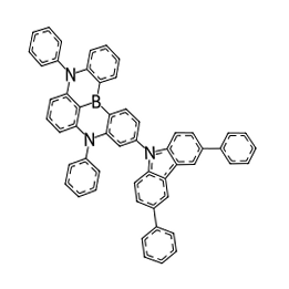 c1ccc(-c2ccc3c(c2)c2cc(-c4ccccc4)ccc2n3-c2ccc3c(c2)N(c2ccccc2)c2cccc4c2B3c2ccccc2N4c2ccccc2)cc1